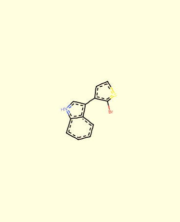 Brc1sccc1-c1c[nH]c2ccccc12